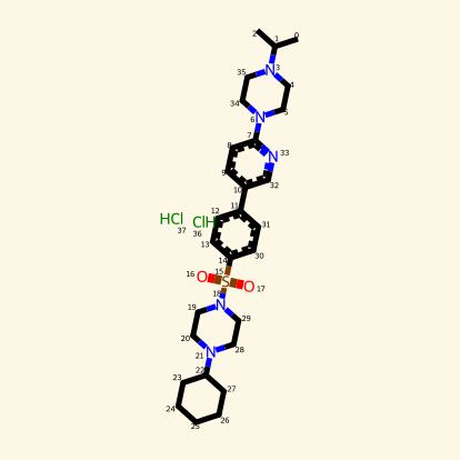 CC(C)N1CCN(c2ccc(-c3ccc(S(=O)(=O)N4CCN(C5CCCCC5)CC4)cc3)cn2)CC1.Cl.Cl